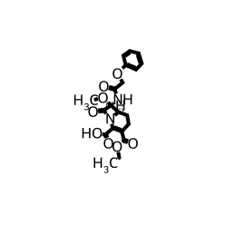 CCOC(=O)C1=C(C(=O)O)N2C(=O)[C@](NC(=O)COc3ccccc3)(OC)[C@@H]2CC1